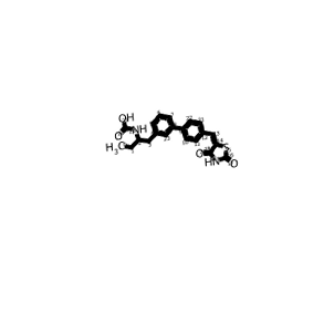 CCC(Cc1cccc(-c2ccc(C=C3SC(=O)NC3=O)cc2)c1)NC(=O)O